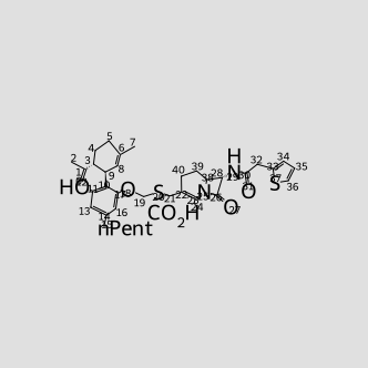 C=C(C)[C@@H]1CCC(C)=C[C@H]1c1c(O)cc(CCCCC)cc1OCSCC1=C(C(=O)O)N2C(=O)[C@@H](NC(=O)Cc3cccs3)C2CC1